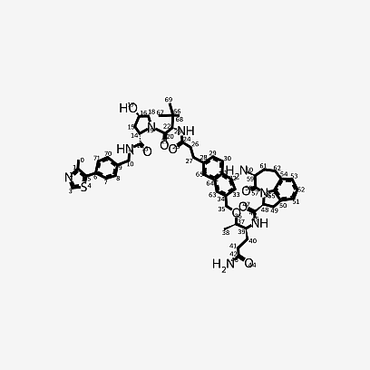 Cc1ncsc1-c1ccc(CNC(=O)[C@@H]2C[C@@H](O)CN2C(=O)[C@@H](NC(=O)CCc2ccc3ccc(CO[C@H](C)[C@H](CCC(N)=O)NC(=O)[C@@H]4Cc5cccc6c5N4C(=O)[C@@H](N)CC6)cc3c2)C(C)(C)C)cc1